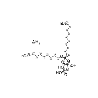 CCCCCCCCCCCCCCCCCCOP(=O)(OCCCCCCCCCCCCCCCCCC)OP(=O)(O)OP(=O)(O)O.[AlH3]